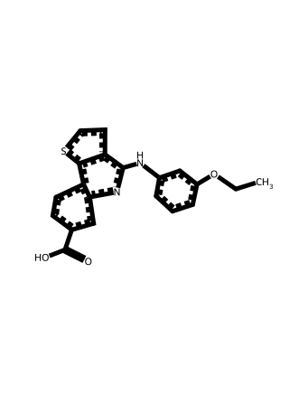 CCOc1cccc(Nc2nc3cc(C(=O)O)ccc3c3sccc23)c1